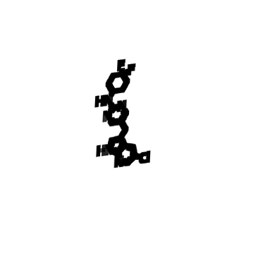 FC1(F)CCC(Nc2ncc(Cc3c[nH]c4ncc(Cl)cc34)cn2)CC1